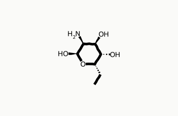 CC[C@@H]1O[C@@H](O)[C@@H](N)[C@@H](O)[C@@H]1O